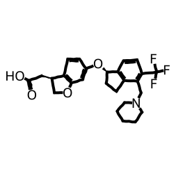 O=C(O)C[C@@H]1COc2cc(O[C@@H]3CCc4c3ccc(C(F)(F)F)c4CN3CCCCC3)ccc21